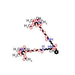 CC(=O)N[C@H]1[C@H](OCCOCCOCCOCC(=O)NCCCC[C@H](NC(=O)[C@@H](C)CCCCNC(=O)COCCOCCOCCO[C@@H]2O[C@H](COC(C)=O)[C@H](OC(C)=O)[C@H](OC(C)=O)[C@H]2NC(C)=O)C(=O)OCc2ccccc2)O[C@H](COC(C)=O)[C@H](OC(C)=O)[C@@H]1OC(C)=O